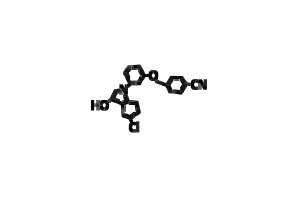 N#Cc1ccc(COc2cccc(-n3cc(O)c4cc(Cl)ccc43)c2)cc1